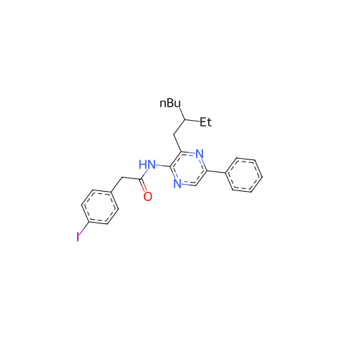 CCCCC(CC)Cc1nc(-c2ccccc2)cnc1NC(=O)Cc1ccc(I)cc1